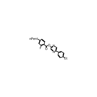 CCCCCc1ccc(C(=O)Oc2cnc(-c3ccc(CC)cc3)cn2)c(F)c1